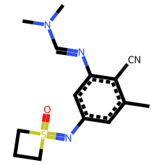 Cc1cc(N=S2(=O)CCC2)cc(/N=C/N(C)C)c1C#N